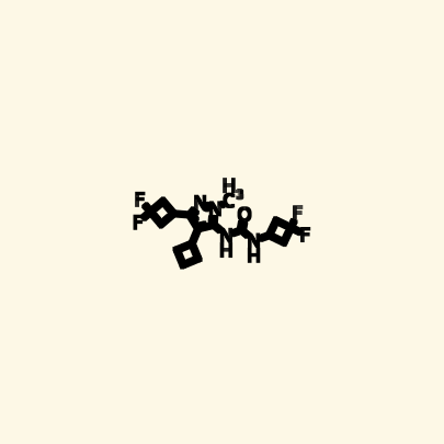 Cn1nc(C2CC(F)(F)C2)c(C2CCC2)c1NC(=O)NC1CC(F)(F)C1